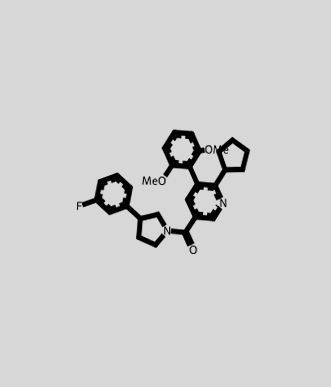 COc1cccc(OC)c1-c1cc(C(=O)N2CCC(c3cccc(F)c3)C2)cnc1C1CCCC1